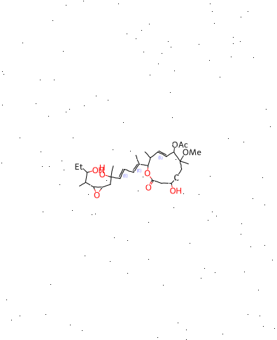 CCC(O)C(C)C1OC1CC(C)(O)/C=C/C=C(\C)C1OC(=O)CC(O)CCC(C)(OC)C(OC(C)=O)/C=C/C1C